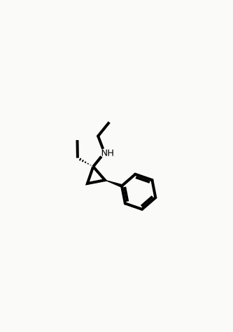 CCN[C@]1(CC)C[C@@H]1c1ccccc1